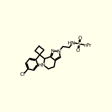 CCCS(=O)(=O)NCCn1cc2c(n1)C(C1(c3ccc(Cl)cc3)CCC1)NCC2